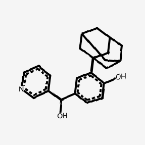 Oc1ccc(C(O)c2cccnc2)cc1C12CC3CC(CC(C3)C1)C2